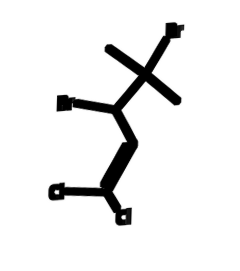 CC(C)(Br)C(Br)C=C(Cl)Cl